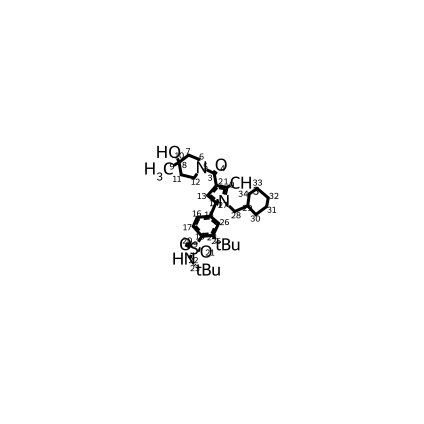 Cc1c(C(=O)N2CCC(C)(O)CC2)cc(-c2ccc(S(=O)(=O)NC(C)(C)C)c(C(C)(C)C)c2)n1CC1CCCCC1